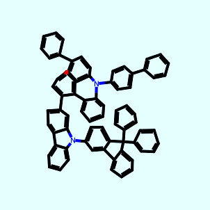 c1ccc(-c2ccc(N(c3ccc(-c4ccccc4)cc3)c3ccccc3-c3ccccc3-c3ccc4c5ccccc5n(-c5ccc6c(c5)-c5ccccc5C6(c5ccccc5)c5ccccc5)c4c3)cc2)cc1